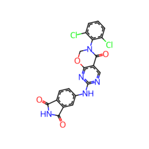 O=C1NC(=O)c2cc(Nc3ncc4c(n3)OCN(c3c(Cl)cccc3Cl)C4=O)ccc21